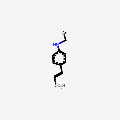 CC(=O)CNc1ccc(C=CC(=O)O)cc1